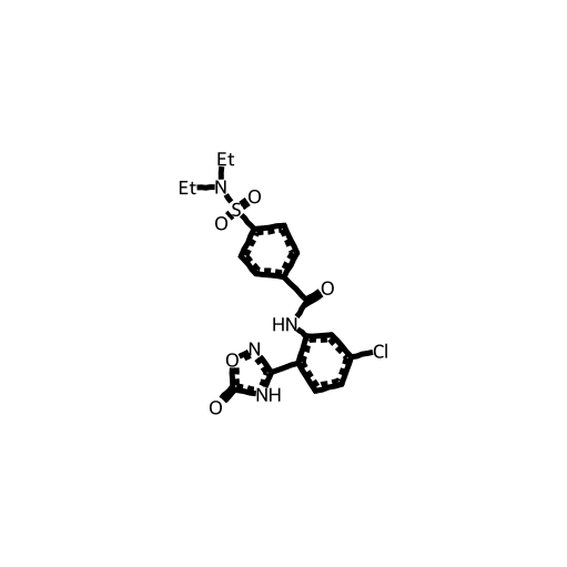 CCN(CC)S(=O)(=O)c1ccc(C(=O)Nc2cc(Cl)ccc2-c2noc(=O)[nH]2)cc1